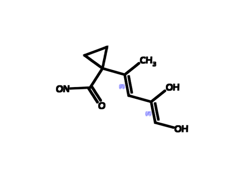 C/C(=C\C(O)=C\O)C1(C(=O)N=O)CC1